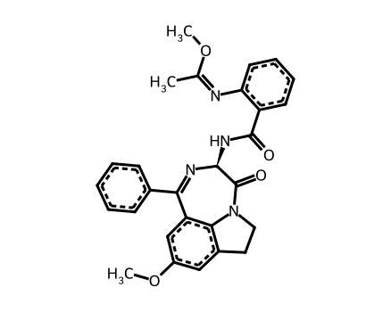 COC(C)=Nc1ccccc1C(=O)N[C@@H]1N=C(c2ccccc2)c2cc(OC)cc3c2N(CC3)C1=O